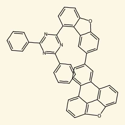 c1ccc(-c2nc(-c3ccccc3)nc(-c3cccc4oc5ccc(-c6ccc7c(c6)c6cccc8oc9cccc7c9c86)cc5c34)n2)cc1